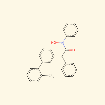 O=C(C(c1ccccc1)c1cccc(-c2ccccc2C(F)(F)F)c1)N(O)c1ccccc1